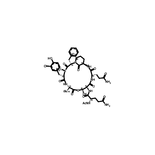 CC[C@H](C)[C@@H]1NC(=O)[C@H](Cc2ccc(O)c(Cl)c2)N(C)C(=O)[C@H](Cc2ccccc2)N2C(=O)[C@H](CC[C@H]2O)NC(=O)[C@H](CCC(N)=O)NC(=O)[C@@H](NC(=O)[C@H](CCC(N)=O)NC(C)=O)[C@@H](C)OC1=O